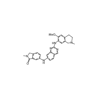 COc1cc2c(cc1Nc1ncc3ccc(Nc4ccc5c(c4)C(=O)N(C)C5)cc3n1)CN(C)CC2